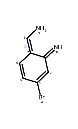 N=C1C=C(Br)C=C/C1=C/N